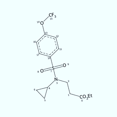 CCOC(=O)CCN(C1CC1)S(=O)(=O)c1c[c]c(OC(F)(F)F)cc1